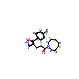 O=C(CCc1cnoc1-c1ccc(F)cc1)N1CCCCCCC1